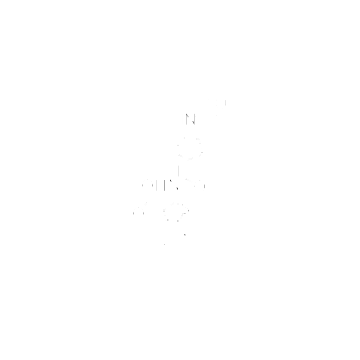 CC1(C)Cc2c(sc(NC(=O)c3ccc(NC4COC4)cc3)c2C(=O)O)C(C)(C)C1